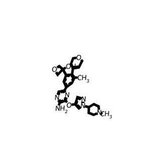 Cc1cc(-c2cnc(N)c(Oc3cnn(C4CCN(C)CC4)c3)n2)cc(C2(O)COC2)c1C1=CCOCC1